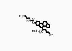 CC(C)CCC[C@@H](C)C1C=C2CC(OC(=O)NCCCN)CCC2C2CCC3CCCC3C21.Cl